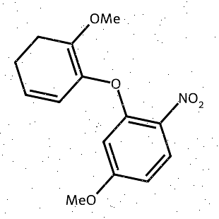 COC1=C(Oc2cc(OC)ccc2[N+](=O)[O-])C=CCC1